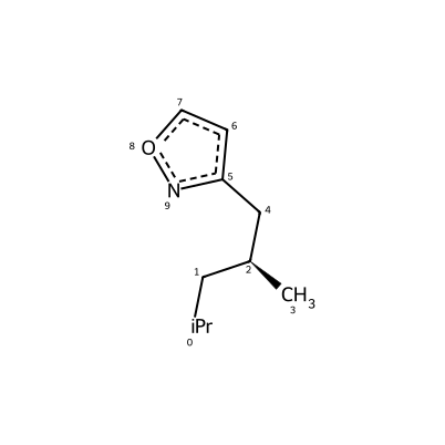 CC(C)C[C@H](C)Cc1ccon1